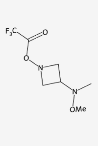 CON(C)C1CN(OC(=O)C(F)(F)F)C1